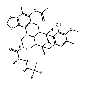 COc1c(C)cc2c(c1O)[C@H]1C3Cc4c(OC(C)=O)c(C)c5c(c4[C@H](CNC(=O)[C@H](C)NC(=O)C(F)(F)F)N3C(O)[C@@H](C2)N1C)OCO5